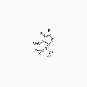 CCON(c1ccc(F)c(F)c1OC)C1CC1